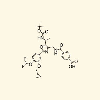 CC(NC(=O)OC(C)(C)C)c1oc(-c2ccc(OC(F)F)c(OCC3CC3)c2)nc1CNC(=O)c1ccc(C(=O)O)cc1